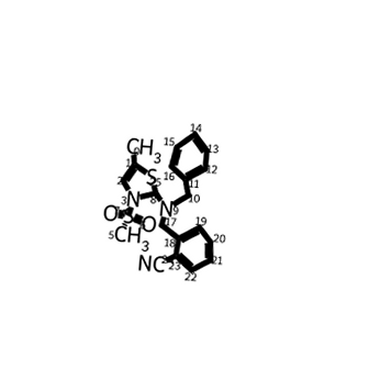 CC1=CN(S(C)(=O)=O)C(N(Cc2ccccc2)Cc2ccccc2C#N)S1